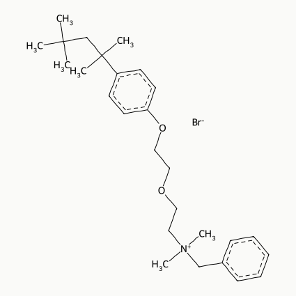 CC(C)(C)CC(C)(C)c1ccc(OCCOCC[N+](C)(C)Cc2ccccc2)cc1.[Br-]